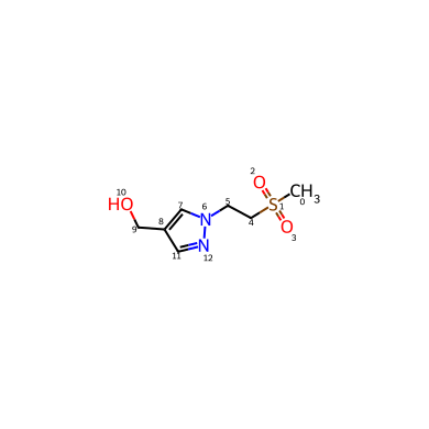 CS(=O)(=O)CCn1cc(CO)cn1